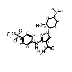 CN(C)C1CC[C@H](n2cc(C(N)=O)c(Nc3ccc(S(=O)(=O)C(F)(F)F)cc3)n2)[C@@H](C#N)C1